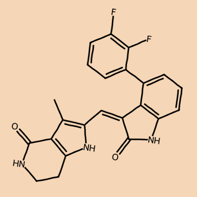 Cc1c(/C=C2\C(=O)Nc3cccc(-c4cccc(F)c4F)c32)[nH]c2c1C(=O)NCC2